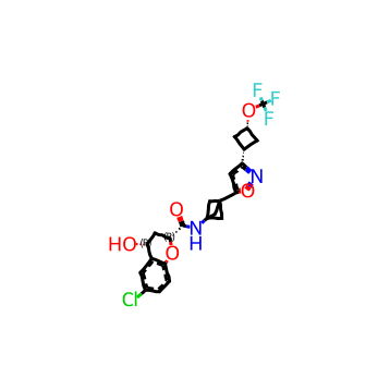 O=C(NC12CC(c3cc([C@H]4C[C@@H](OC(F)(F)F)C4)no3)(C1)C2)[C@H]1C[C@@H](O)c2cc(Cl)ccc2O1